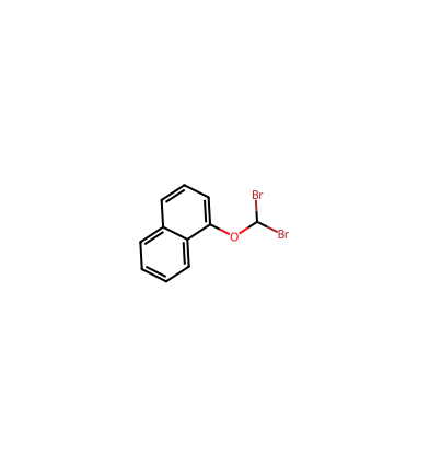 BrC(Br)Oc1cccc2ccccc12